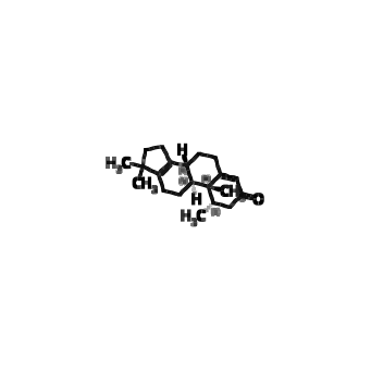 C[C@H]1CC(=O)C=C2CC[C@H]3C4=C(CC[C@@H]3[C@]21C)C(C)(C)CC4